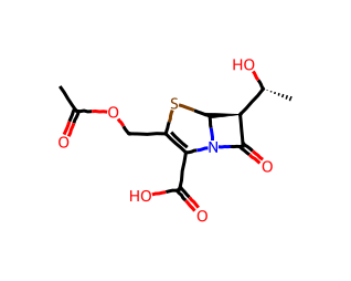 CC(=O)OCC1=C(C(=O)O)N2C(=O)[C@H]([C@@H](C)O)C2S1